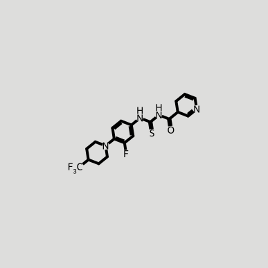 O=C(NC(=S)Nc1ccc(N2CCC(C(F)(F)F)CC2)c(F)c1)C1C=NC=CC1